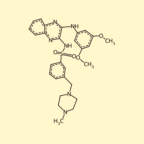 COc1cc(Nc2nc3ccccc3nc2NS(=O)(=O)c2cccc(CN3CCN(C)CC3)c2)cc(OC)c1